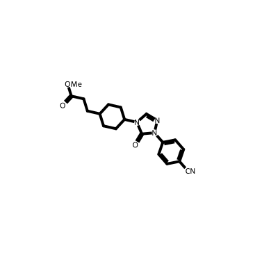 COC(=O)CCC1CCC(n2cnn(-c3ccc(C#N)cc3)c2=O)CC1